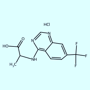 CC(Nc1ncnc2cc(C(F)(F)F)ccc12)C(=O)O.Cl